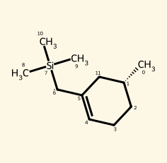 C[C@@H]1CCC=C([CH][Si](C)(C)C)C1